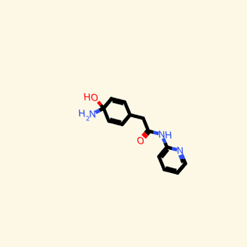 NC1(O)C=CC(CC(=O)Nc2ccccn2)C=C1